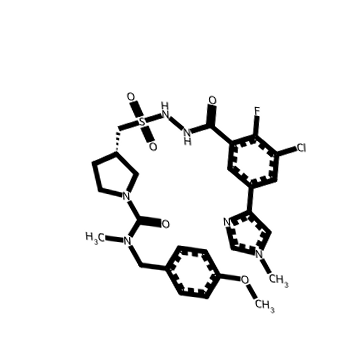 COc1ccc(CN(C)C(=O)N2CC[C@H](CS(=O)(=O)NNC(=O)c3cc(-c4cn(C)cn4)cc(Cl)c3F)C2)cc1